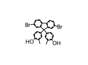 Cc1cc(C2(c3ccc(O)c(C)c3)c3cc(Br)ccc3-c3ccc(Br)cc32)ccc1O